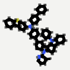 Cc1cccnc1-n1c2ccc(-c3ccc(N(c4ccc(-c5ccccc5)cc4)c4ccc5c(c4)sc4ccccc45)cc3)cc2c2c1ccc1c3ccccc3n(-c3ccccc3)c12